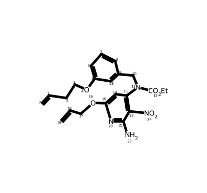 C=CCCOc1cccc(CN(C(=O)OCC)c2cc(OCC=C)nc(N)c2[N+](=O)[O-])c1